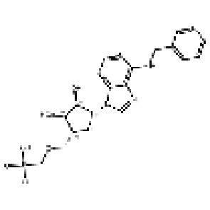 O=P(O)(O)COC[C@H]1O[C@@H](n2cnc3c(NCc4cccnc4)ncnc32)[C@H](O)[C@@H]1O